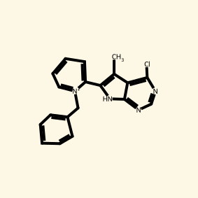 Cc1c(-c2cccc[n+]2Cc2ccccc2)[nH]c2ncnc(Cl)c12